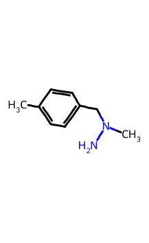 Cc1ccc(CN(C)N)cc1